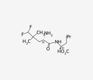 CC(C)C[C@H](NC(=O)[C@@H](N)CC(C)(C)C(F)F)C(=O)O